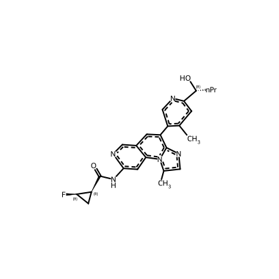 CCC[C@@H](O)c1cc(C)c(-c2cc3cnc(NC(=O)[C@H]4C[C@H]4F)cc3n3c(C)cnc23)cn1